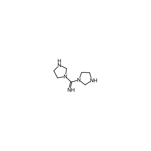 N=C(N1CCNC1)N1CCNC1